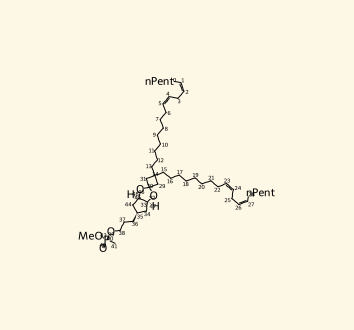 CCCCC/C=C\C/C=C\CCCCCCCCC1(CCCCCCCC/C=C\C/C=C\CCCCC)CC2(C1)O[C@H]1C[C@@H](CCCOP(C)(=O)OC)C[C@H]1O2